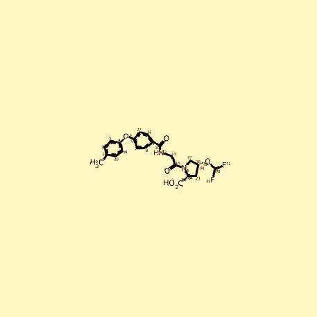 Cc1ccc(Oc2ccc(C(=O)NCC(=O)N3C[C@H](OC(F)F)C[C@H]3C(=O)O)cc2)cc1